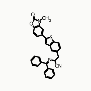 Cn1c(=O)oc2ccc(-c3cc4cc(CC(C#N)N=C(c5ccccc5)c5ccccc5)ccc4s3)cc21